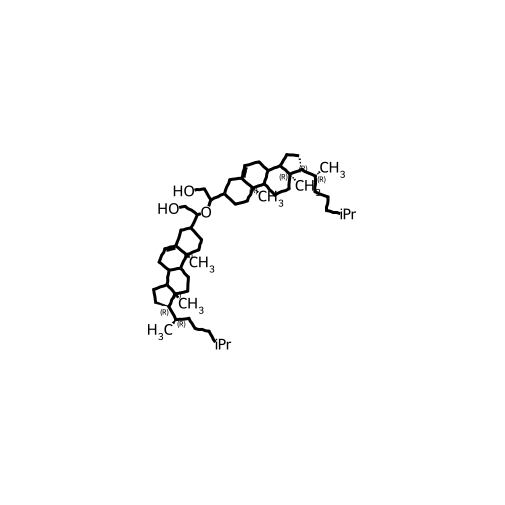 CC(C)CCC[C@@H](C)[C@H]1CCC2C3CC=C4CC(C(CO)OC(CO)C5CC[C@@]6(C)C(=CCC7C6CC[C@@]6(C)C7CC[C@@H]6[C@H](C)CCCC(C)C)C5)CC[C@]4(C)C3CC[C@@]21C